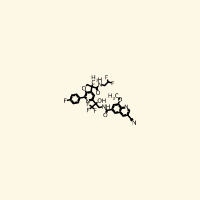 COc1cc(C(=O)NCC(O)(c2cc3c(c(-c4ccc(F)cc4)n2)OCC3(C)C(=O)NCC(F)F)C(F)(F)F)cc2cc(C#N)cnc12